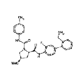 CO[C@@H]1C[C@H](C(=O)Nc2ccc(-c3ccccc3CN)cc2F)N(C(=O)Nc2ccc(C)cc2)C1